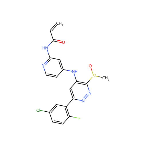 C=CC(=O)Nc1cc(Nc2cc(-c3cc(Cl)ccc3F)nnc2[S+](C)[O-])ccn1